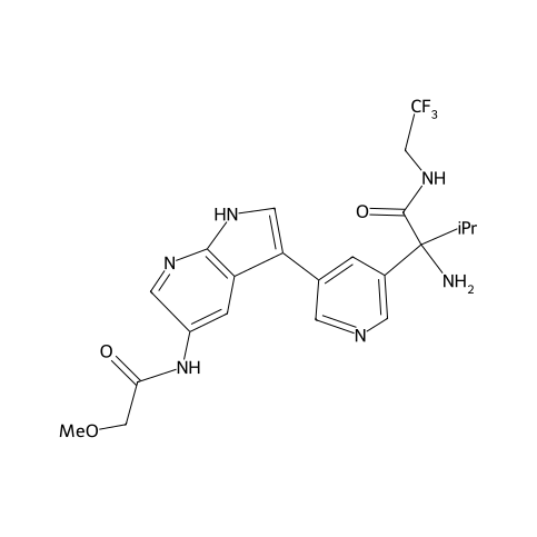 COCC(=O)Nc1cnc2[nH]cc(-c3cncc(C(N)(C(=O)NCC(F)(F)F)C(C)C)c3)c2c1